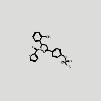 Cc1ccccc1C1CC(c2ccc(NS(C)(=O)=O)cc2)=NN1C(=O)c1cccs1